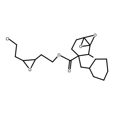 CC1C(CC2CCCCC2)(C(=O)OCCC2OC2CCCl)CCC23OC12O3